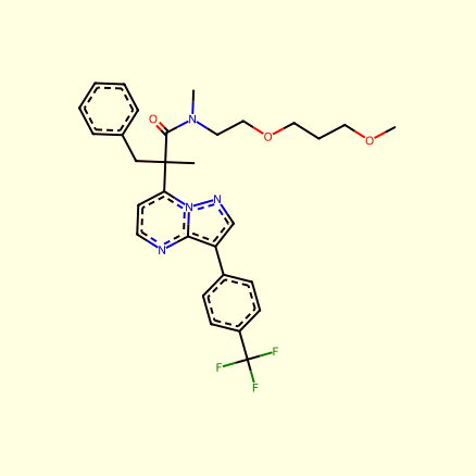 COCCCOCCN(C)C(=O)C(C)(Cc1ccccc1)c1ccnc2c(-c3ccc(C(F)(F)F)cc3)cnn12